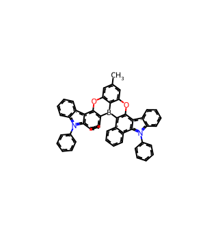 Cc1cc2c3c(c1)Oc1c(c4ccccc4c4c1c1ccccc1n4-c1ccccc1)B3c1c(c3c4ccccc4n(-c4ccccc4)c3c3ccccc13)O2